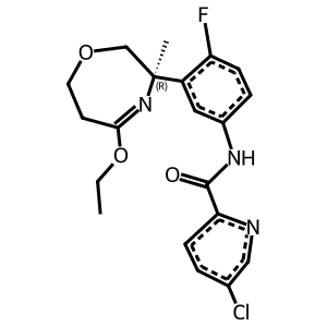 CCOC1=N[C@](C)(c2cc(NC(=O)c3ccc(Cl)cn3)ccc2F)COCC1